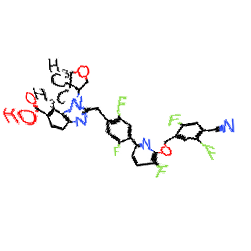 CC1(C)COCC1n1c(Cc2cc(F)c(-c3ccc(F)c(OCc4cc(F)c(C#N)cc4F)n3)cc2F)nc2ccc(C(=O)O)cc21